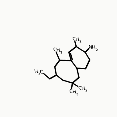 CCC1CC(C)C2=CC(C)C(N)CCC2CC(C)(C)C1